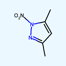 Cc1cc(C)n([N+](=O)[O-])n1